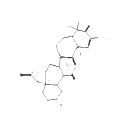 C=C(O)C[C@]12CC[C@H](C)CC1C1C(=O)C=C3[C@@]4(C)C=C(C#N)C(=O)C(C)(C)C4CC[C@@]3(C)[C@]1(C)CC2